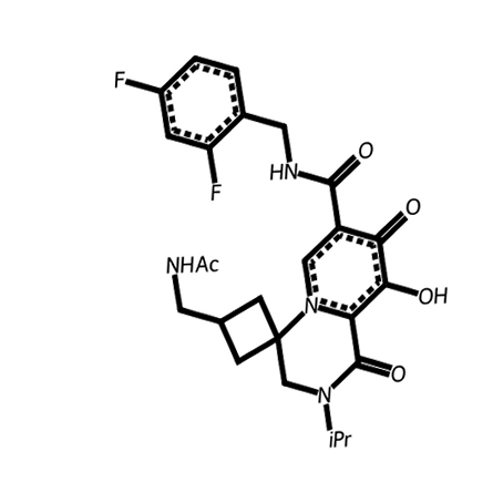 CC(=O)NCC1CC2(C1)CN(C(C)C)C(=O)c1c(O)c(=O)c(C(=O)NCc3ccc(F)cc3F)cn12